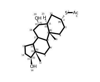 CC(=O)S[C@@H]1CC[C@]2(C)C3CC[C@@]4(C)C(CC[C@@H]4O)C3C[C@H](O)[C@H]2C1